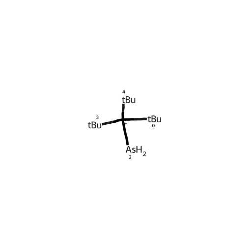 CC(C)(C)C([AsH2])(C(C)(C)C)C(C)(C)C